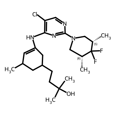 CC1C=C(Nc2nc(N3C[C@@H](C)C(F)(F)[C@@H](C)C3)ncc2Cl)CC(CCC(C)(C)O)C1